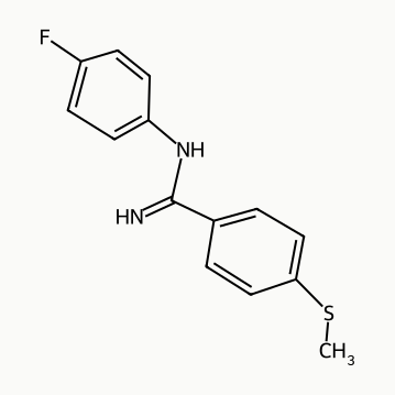 CSc1ccc(C(=N)Nc2ccc(F)cc2)cc1